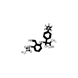 CC(O)C(C)(Nc1cccc(NS(C)(=O)=O)c1C=N)c1ccc(S(F)(F)(F)(F)F)cc1